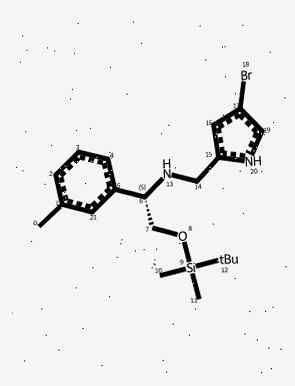 Cc1cccc([C@@H](CO[Si](C)(C)C(C)(C)C)NCc2cc(Br)c[nH]2)c1